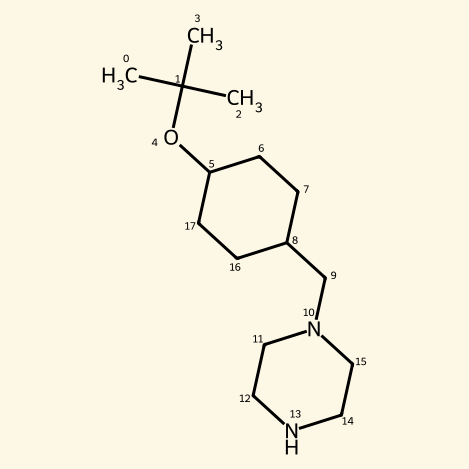 CC(C)(C)OC1CCC(CN2CCNCC2)CC1